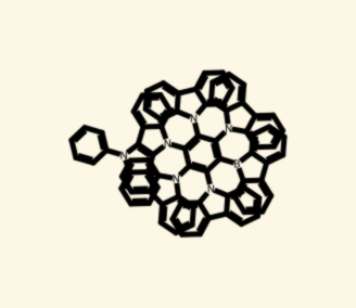 c1ccc(-n2c3ccccc3c3c2c2ccccc2n3-c2c(-n3c4ccccc4c4ccccc43)c(-n3c4ccccc4c4ccccc43)c(B3c4ccccc4-c4ccccc43)c(-n3c4ccccc4c4ccccc43)c2-n2c3ccccc3c3ccccc32)cc1